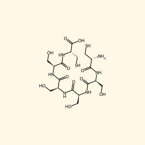 N[C@@H](CS)C(=O)N[C@@H](CO)C(=O)N[C@@H](CO)C(=O)N[C@@H](CO)C(=O)N[C@@H](CO)C(=O)N[C@@H](CS)C(=O)O